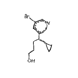 OCCCC(=C1CC1)c1cncc(Br)c1